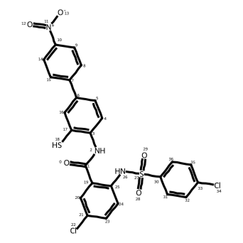 O=C(Nc1ccc(-c2ccc([N+](=O)[O-])cc2)cc1S)c1cc(Cl)ccc1NS(=O)(=O)c1ccc(Cl)cc1